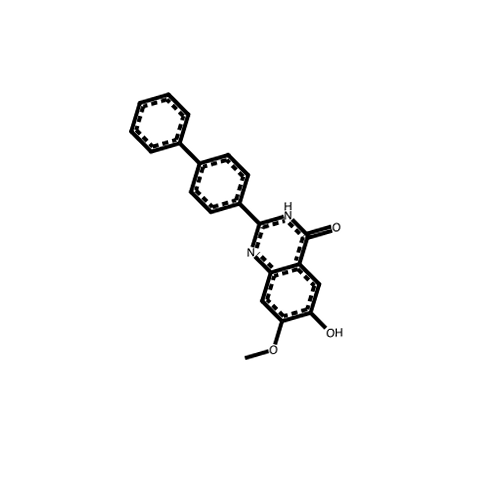 COc1cc2nc(-c3ccc(-c4ccccc4)cc3)[nH]c(=O)c2cc1O